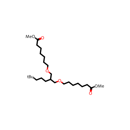 COC(=O)CCCCCCOCC(CCCC(C)(C)C)COCCCCCCC(=O)OC